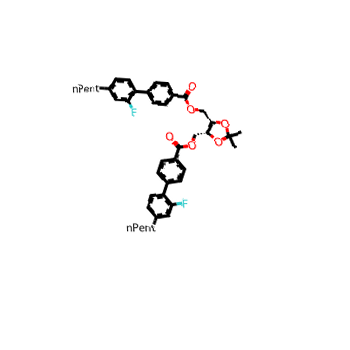 CCCCCc1ccc(-c2ccc(C(=O)OC[C@H]3OC(C)(C)O[C@@H]3COC(=O)c3ccc(-c4ccc(CCCCC)cc4F)cc3)cc2)c(F)c1